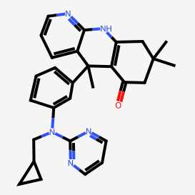 CC1(C)CC(=O)C2=C(C1)Nc1ncccc1C2(C)c1cccc(N(CC2CC2)c2ncccn2)c1